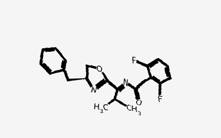 CC(C)/C(=N\C(=O)c1c(F)cccc1F)C1=N[C@@H](Cc2ccccc2)CO1